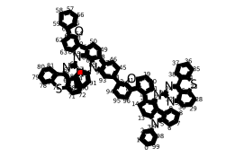 c1ccc(-n2c3ccccc3c3c2ccc2c4c5c(ccc4n(-c4nc6c7c(cccc7n4)Sc4ccccc4-6)c23)oc2c(-c3ccc4c6ccc7c8c9oc%10ccccc%10c9ccc8n(-c8nc9c%10c(cccc%10n8)Sc8ccccc8-9)c7c6n(-c6ccccc6)c4c3)cccc25)cc1